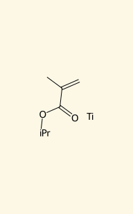 C=C(C)C(=O)OC(C)C.[Ti]